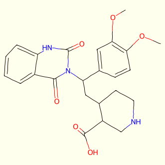 COc1ccc(C(CC2CCNCC2C(=O)O)n2c(=O)[nH]c3ccccc3c2=O)cc1OC